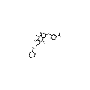 CC(C)c1cccc(Oc2cnc3c(c2)c(=O)n(CCCOC2CCCCO2)c(=O)n3C)c1